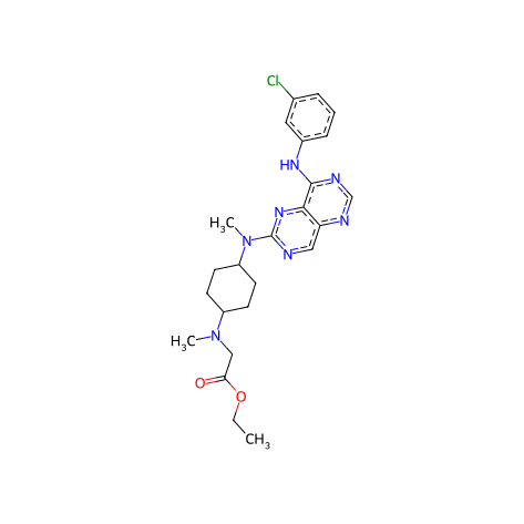 CCOC(=O)CN(C)C1CCC(N(C)c2ncc3ncnc(Nc4cccc(Cl)c4)c3n2)CC1